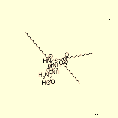 CCCCCCCCCCCCCCCC(=O)N[C@@H](CSC[C@@H](COC(=O)CCCCCCCCCCC)OC(=O)CCCCCCCCCCC)C(=O)NC(CC)C(=O)N[C@H](CCC(=O)O)C(N)=O